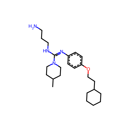 CC1CCN(/C(=N\c2ccc(OCCC3CCCCC3)cc2)NCCCN)CC1